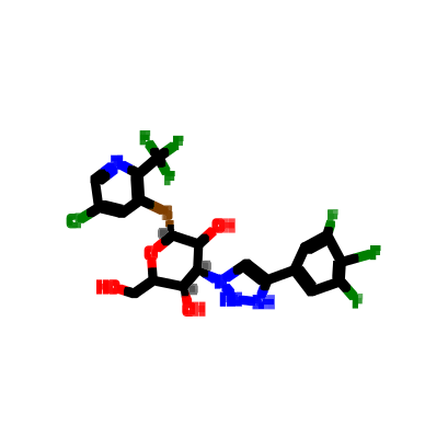 OCC1O[C@H](Sc2cc(Cl)cnc2C(F)(F)F)C(O)[C@@H](N2C=C(c3cc(F)c(F)c(F)c3)NN2)[C@H]1O